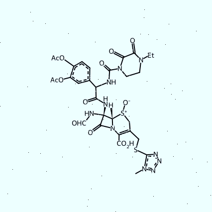 CCN1CCN(C(=O)NC(C(=O)N[C@]2(NC=O)C(=O)N3C(C(=O)O)=C(CSc4nnnn4C)C[S+]([O-])[C@H]32)c2ccc(OC(C)=O)c(OC(C)=O)c2)C(=O)C1=O